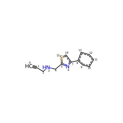 C#CCNCc1nc(-c2ccccc2)cs1